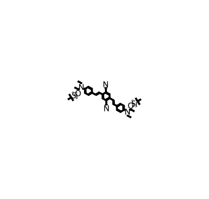 CCN(c1ccc(/C=C/c2cc(C#N)c(/C=C/c3ccc(N(CC)C(C)O[Si](C)(C)C(C)(C)C)cc3)cc2C#N)cc1)C(C)O[Si](C)(C)C(C)(C)C